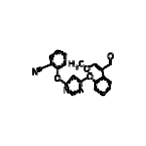 CO/C=C(/C=O)c1ccccc1Oc1cc(Oc2ccccc2C#N)ncn1